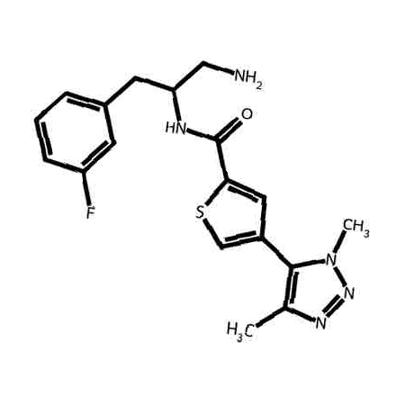 Cc1nnn(C)c1-c1csc(C(=O)NC(CN)Cc2cccc(F)c2)c1